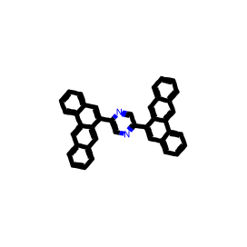 c1ccc2cc3c(cc2c1)c(-c1cnc(-c2cc4ccccc4c4cc5ccccc5cc24)cn1)cc1ccccc13